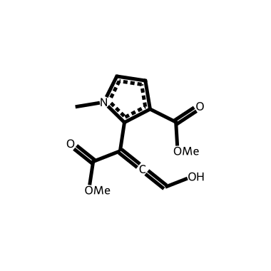 COC(=O)C(=C=CO)c1c(C(=O)OC)ccn1C